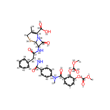 COC(=O)Oc1cccc(C(=O)N(C)c2ccc(C(=O)N[C@@H](C(=O)N[C@@H]3C(=O)N4C(C(=O)O)=C(C)CSC34)c3ccccc3)cc2)c1OC(=O)OC